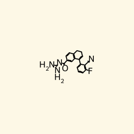 N#Cc1c(F)cccc1C1=CCCc2ccc(C(=O)N=C(N)N)cc21